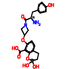 N[C@H](Cc1ccc(O)cc1)C(=O)N1CC(Oc2ccc3c(c2C(=O)O)O[B-](O)(O)CC3)C1